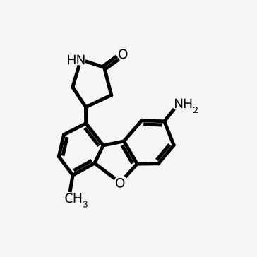 Cc1ccc(C2CNC(=O)C2)c2c1oc1ccc(N)cc12